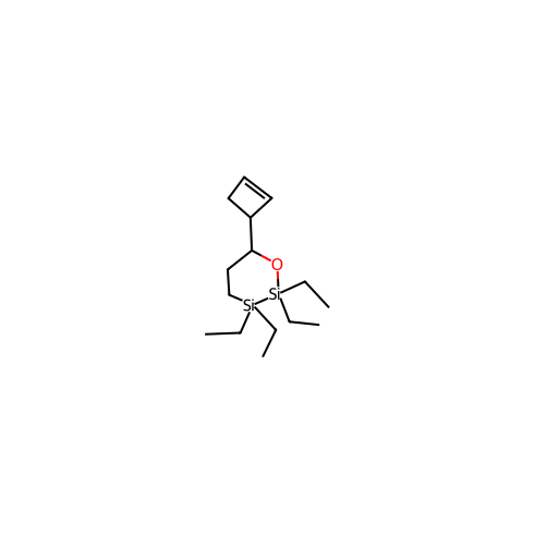 CC[Si]1(CC)CCC(C2C=CC2)O[Si]1(CC)CC